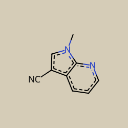 Cn1cc(C#N)c2cccnc21